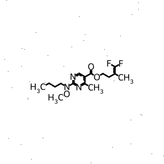 CCCCN(OC)c1ncc(C(=O)OCCC(C)=C(F)F)c(C)n1